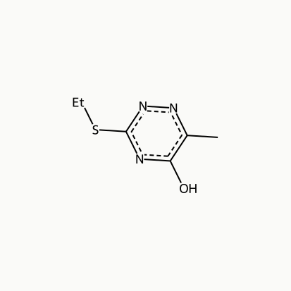 CCSc1nnc(C)c(O)n1